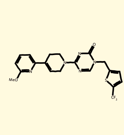 COc1cccc(C2=CCN(c3ncn(Cc4ccc(C(F)(F)F)s4)c(=O)n3)CC2)n1